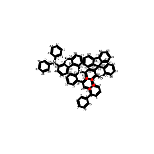 c1ccc(-c2cccc(-c3cc(N(c4ccccc4-c4ccccc4)c4cccc5sc6c(N(c7ccccc7)c7ccccc7)cccc6c45)cc4c3Sc3ccccc3C43c4ccccc4-c4ccccc43)c2)cc1